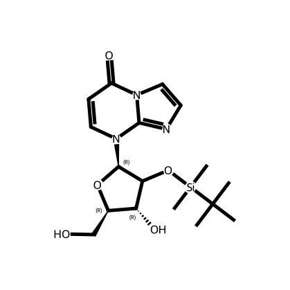 CC(C)(C)[Si](C)(C)OC1[C@H](n2ccc(=O)n3ccnc23)O[C@H](CO)[C@H]1O